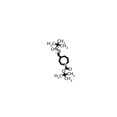 CC(C)(C)OC(=O)N1CCCC(/C=N/[S@+]([O-])C(C)(C)C)CC1